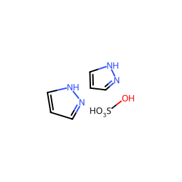 O=S(=O)(O)O.c1cn[nH]c1.c1cn[nH]c1